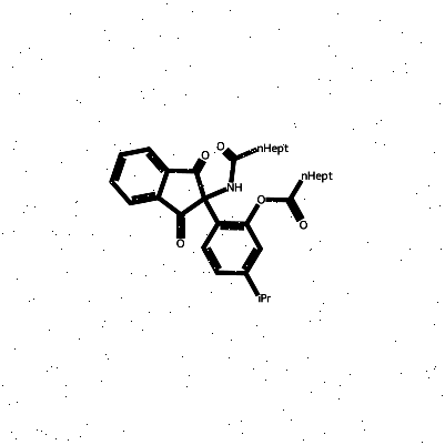 CCCCCCCC(=O)NC1(c2ccc(C(C)C)cc2OC(=O)CCCCCCC)C(=O)c2ccccc2C1=O